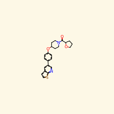 O=C(C1CCCO1)N1CCC(Oc2ccc(-c3cnc4sccc4c3)cc2)CC1